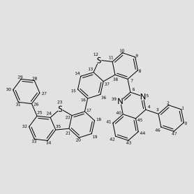 c1ccc(-c2nc(-c3cccc4sc5ccc(-c6cccc7c6sc6c(-c8ccccc8)cccc67)cc5c34)nc3ccccc23)cc1